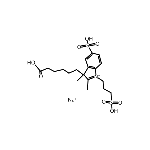 CC1=[N+](CCCS(=O)(=O)O)c2ccc(S(=O)(=O)O)cc2C1(C)CCCCCC(=O)O.[Na+]